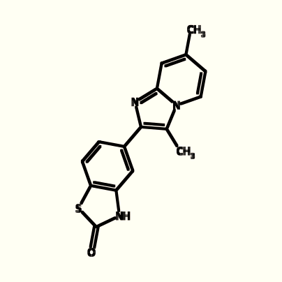 Cc1ccn2c(C)c(-c3ccc4sc(=O)[nH]c4c3)nc2c1